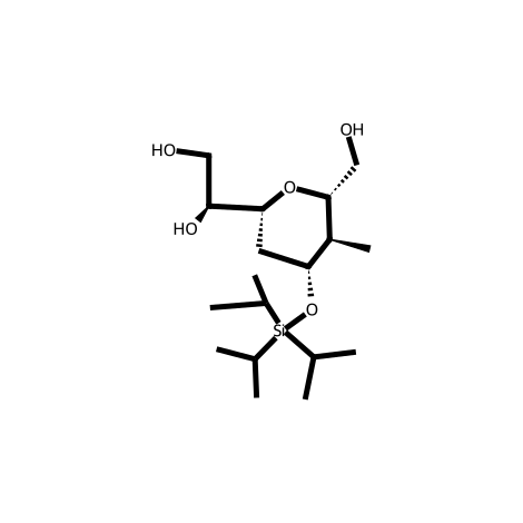 CC(C)[Si](O[C@@H]1C[C@H]([C@@H](O)CO)O[C@H](CO)[C@H]1C)(C(C)C)C(C)C